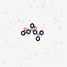 c1ccc(N(c2ccccc2)c2ccc3c(c2)Oc2ccccc2N3c2ccc3c(c2)oc2ccccc23)cc1